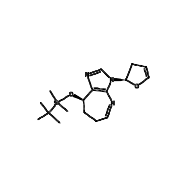 CC(C)(C)[Si](C)(C)O[C@@H]1CCC=Nc2c1ncn2[C@H]1CC=CO1